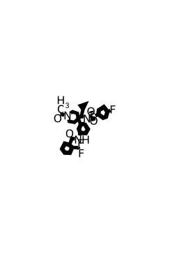 CC(=O)N1CCC2(CC1)c1cc(NC(=O)c3ccccc3C(F)F)ccc1N(S(=O)(=O)c1ccc(F)cc1)C2C1CC1